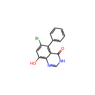 O=c1[nH]cnc2c(O)cc(Br)c(-c3ccccc3)c12